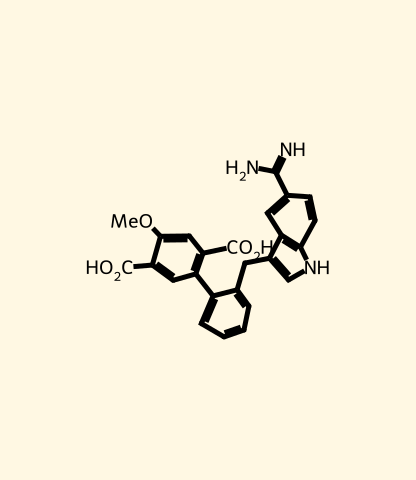 COc1cc(C(=O)O)c(-c2ccccc2Cc2c[nH]c3ccc(C(=N)N)cc23)cc1C(=O)O